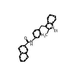 CCn1c(C)c(Cc2ccc(NC(=O)c3ccc4ccccc4c3)cc2)c2ccccc21